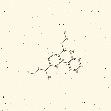 CCCC(O)c1ccc(C(O)CCC)c(-c2ccccc2)c1